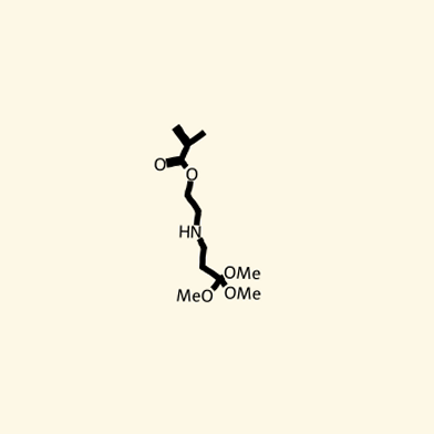 C=C(C)C(=O)OCCNCCC(OC)(OC)OC